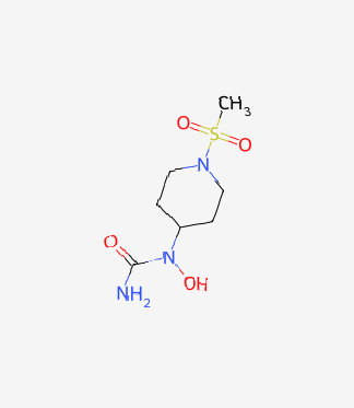 CS(=O)(=O)N1CCC(N(O)C(N)=O)CC1